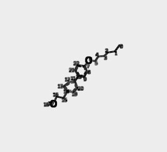 CCCCCCOc1ccc(-c2ccc(CCOC)cc2)cc1